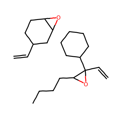 C=CC1(C2CCCCC2)OC1CCCC.C=CC1CCC2OC2C1